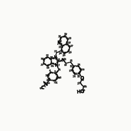 [C-]#[N+]c1ccc(Cn2/c(=N\CCc3ccc(OCCO)cc3)n(Cc3cccc4cccnc34)c3ccccc32)cc1